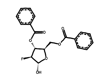 O=C(OC[C@H]1O[C@H](O)[C@@H](F)[C@@H]1OC(=O)c1ccccc1)c1ccccc1